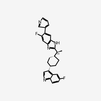 C[C@H](c1nc2cc(F)c(-c3cccnc3)cc2[nH]1)[C@H]1CC[C@@H](c2ccnc3ccc(F)cc32)CC1